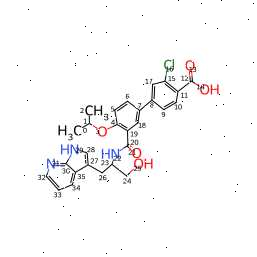 CC(C)Oc1ccc(-c2ccc(C(=O)O)c(Cl)c2)cc1C(=O)NC(CO)Cc1c[nH]c2ncccc12